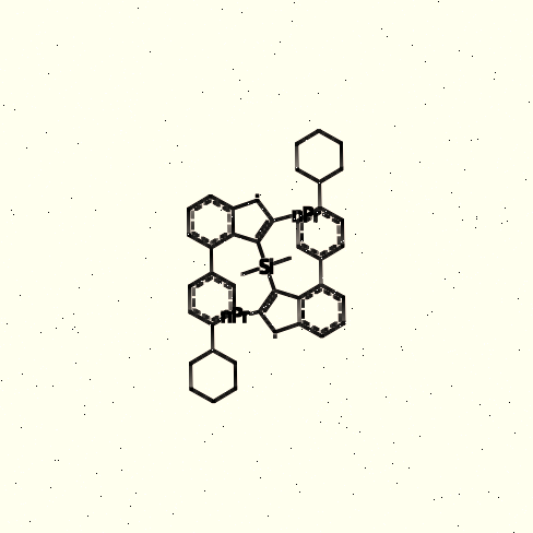 CCCC1=C([Si](C)(C)C2=C(CCC)[CH]c3cccc(-c4ccc(C5CCCCC5)cc4)c32)c2c(cccc2-c2ccc(C3CCCCC3)cc2)[CH]1